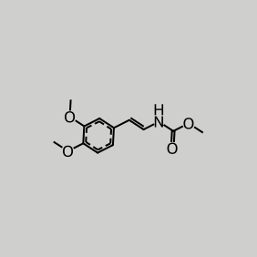 COC(=O)N/C=C/c1ccc(OC)c(OC)c1